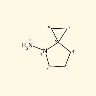 NN1CCCC12CC2